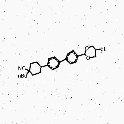 CCCCC1(C#N)CCC(c2ccc(-c3ccc(C4OCC(CC)CO4)cc3)cc2)CC1